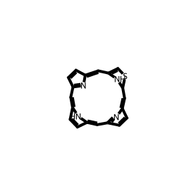 C1=CC2=NC1=CC1=CSC(C=C3C=CC(=N3)C=c3ccc([nH]3)=C2)N1